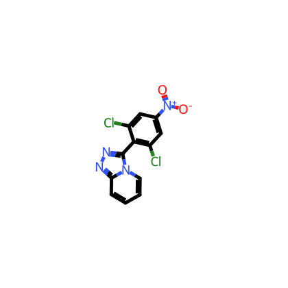 O=[N+]([O-])c1cc(Cl)c(-c2nnc3ccccn23)c(Cl)c1